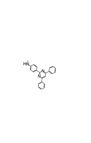 CNc1ccc(-c2nc(-c3ccccc3)cc(-c3ccccc3)n2)cc1